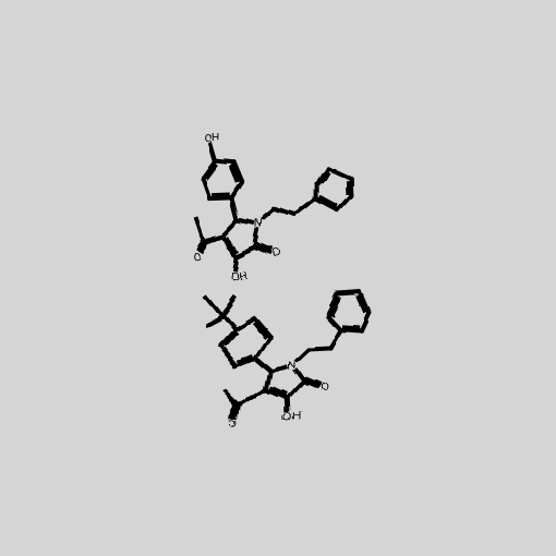 CC(=O)C1=C(O)C(=O)N(CCc2ccccc2)C1c1ccc(C(C)(C)C)cc1.CC(=O)C1=C(O)C(=O)N(CCc2ccccc2)C1c1ccc(O)cc1